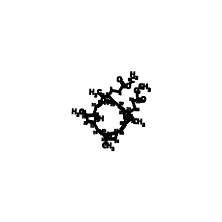 COC(=O)CCC1=C(C)c2cc3[nH]c(cc4nc(cc5[nH]c(cc1n2)c(CCC(=O)OC)c5C)C=C4C)cc3C